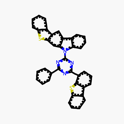 c1ccc(-c2nc(-c3cccc4c3sc3ccccc34)nc(-n3c4ccccc4c4cc5c(cc43)sc3ccccc35)n2)cc1